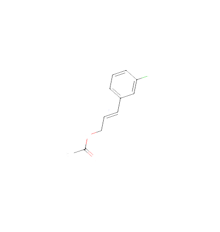 CCC(=O)OC/C=C/c1cccc(Cl)c1